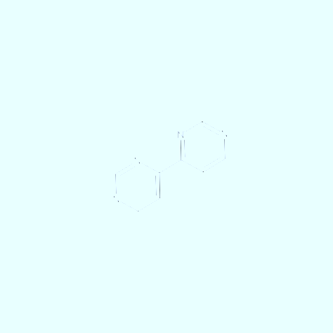 C1=NC(c2ccncn2)=CCN1